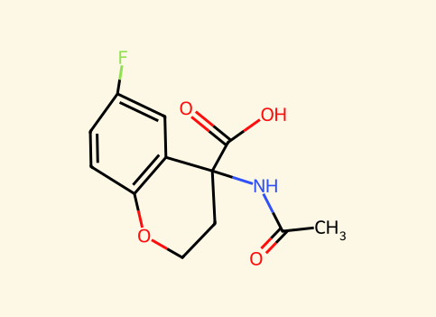 CC(=O)NC1(C(=O)O)CCOc2ccc(F)cc21